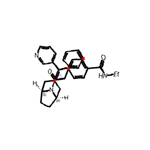 CCNC(=O)c1ccc(/C(=C2\C[C@H]3CC[C@@H](C2)N3C(=O)Cc2ccccc2)c2cccnc2)cc1